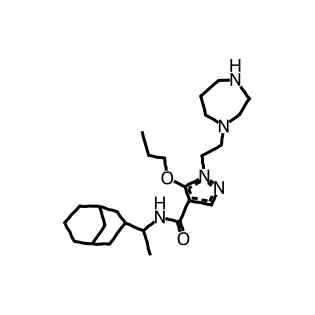 CCCOc1c(C(=O)NC(C)C2CC3CCCC(C3)C2)cnn1CCN1CCCNCC1